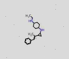 CCNC1CCC(NC2CC2/C(C)=C/c2ccccc2)CC1